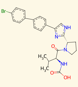 CC(C)[C@H](NC(=O)O)C(=O)N1CCC[C@H]1c1nc(-c2ccc(-c3ccc(Br)cc3)cc2)c[nH]1